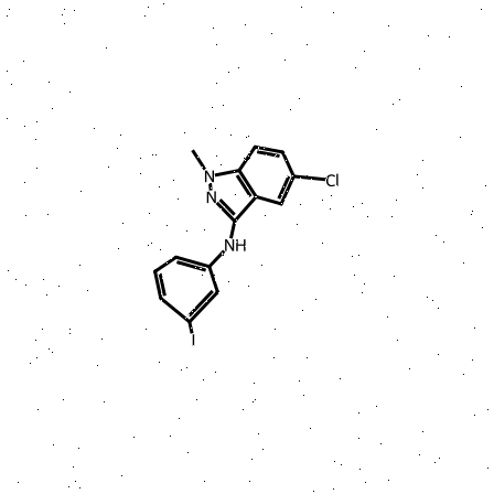 Cn1nc(Nc2cccc(I)c2)c2cc(Cl)ccc21